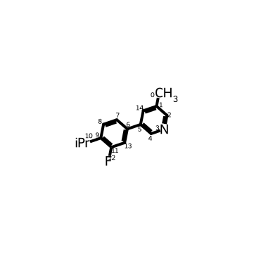 Cc1cncc(-c2ccc(C(C)C)c(F)c2)c1